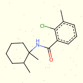 Cc1cccc(C(=O)NC2(C)CCCCC2C)c1Cl